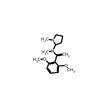 C=C(c1c(OC)cccc1OC)N(C)C1CCCN1C